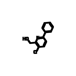 OCc1nc(-c2ccccc2)ccc1Cl